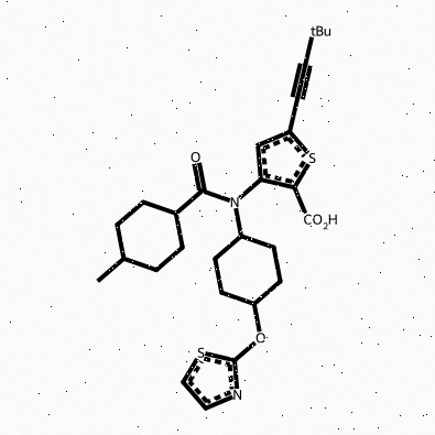 CC1CCC(C(=O)N(c2cc(C#CC(C)(C)C)sc2C(=O)O)C2CCC(Oc3nccs3)CC2)CC1